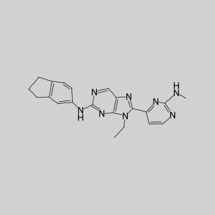 CCn1c(-c2ccnc(NC)n2)nc2cnc(Nc3ccc4c(c3)CCC4)nc21